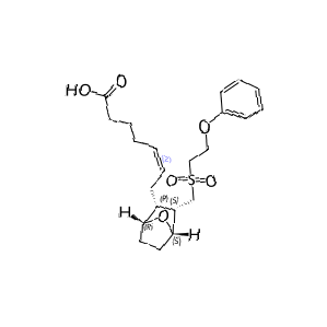 O=C(O)CCC/C=C\C[C@@H]1[C@H](CS(=O)(=O)CCOc2ccccc2)[C@@H]2CC[C@H]1O2